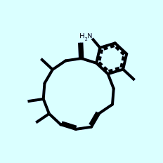 C=C1CC(C)CC(C)C(C)/C=C\C=C\CCc2c(C)ccc(N)c21